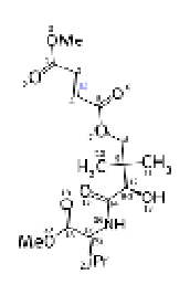 COC(=O)/C=C/C(=O)OCC(C)(C)[C@@H](O)C(=O)N[C@H](C(=O)OC)C(C)C